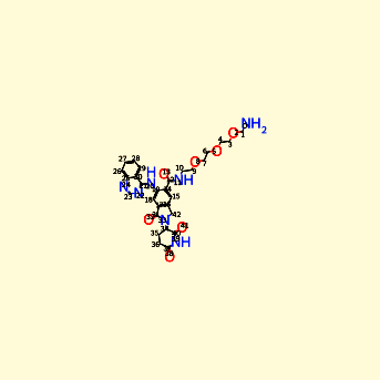 NCOCCOCCOCCNC(=O)c1cc2c(cc1Nc1ncnc3ccccc13)C(=O)N(C1CCC(=O)NC1=O)C2